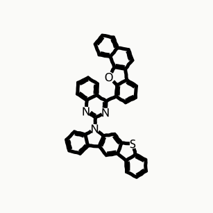 c1ccc2c(c1)ccc1c3cccc(-c4nc(-n5c6ccccc6c6cc7c(cc65)sc5ccccc57)nc5ccccc45)c3oc21